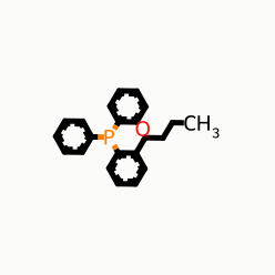 CCCC(=O)c1ccccc1P(c1ccccc1)c1ccccc1